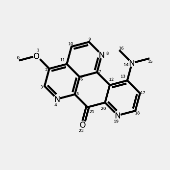 COc1cnc2c3c(nccc13)-c1c(N(C)C)ccnc1C2=O